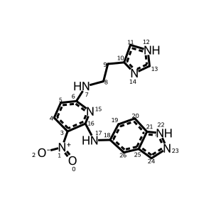 O=[N+]([O-])c1ccc(NCCc2c[nH]cn2)nc1Nc1ccc2[nH]ncc2c1